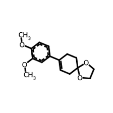 COc1ccc(C2=CCC3(CC2)OCCO3)cc1OC